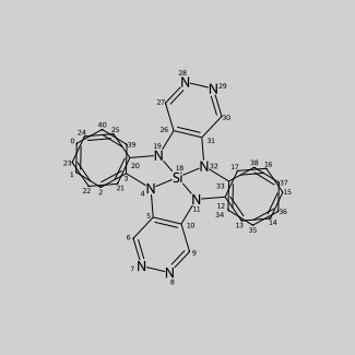 c1ccc(N2c3cnncc3N(c3ccccc3)[Si]23N(c2ccccc2)c2cnncc2N3c2ccccc2)cc1